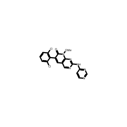 COn1c(=O)c(-c2c(Cl)cccc2Cl)cc2cnc(Nc3ccncn3)nc21